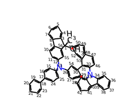 CC1(C)c2ccccc2-c2ccc(N(c3ccc(-c4ccccc4)cc3)c3cccc(-c4c(-n5c6ccccc6c6ccccc65)ccc5ccccc45)c3)cc21